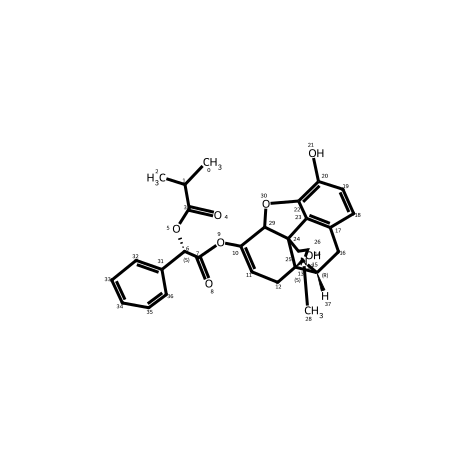 CC(C)C(=O)O[C@H](C(=O)OC1=CC[C@@]2(O)[C@H]3Cc4ccc(O)c5c4C2(CCN3C)C1O5)c1ccccc1